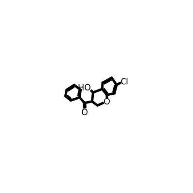 O=C(c1ccccc1)C1COc2cc(Cl)ccc2C1O